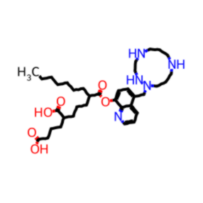 CCCCCCCC(CCCC(CCCC(=O)O)C(=O)O)C(=O)Oc1ccc(CN2CCCNCCCNCCN2)c2cccnc12